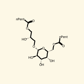 CCCCCC(=O)OC[C@@H](O)CO[C@@H]1O[C@H](COC(=O)CCCCC)[C@H](O)[C@H](O)[C@H]1O